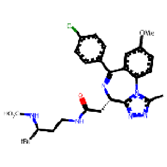 COc1ccc2c(c1)C(c1ccc(Cl)cc1)=N[C@@H](CC(=O)NCCC(NC(=O)O)C(C)(C)C)c1nnc(C)n1-2